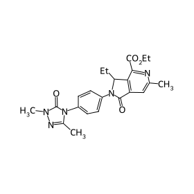 CCOC(=O)c1nc(C)cc2c1C(CC)N(c1ccc(-n3c(C)nn(C)c3=O)cc1)C2=O